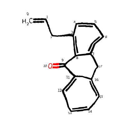 C=CCc1cccc2c1C(=O)c1ccccc1C2